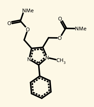 CNC(=O)OCc1nc(-c2ccccc2)n(C)c1COC(=O)NC